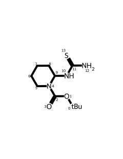 CC(C)(C)OC(=O)N1CCCCC1NC(N)=S